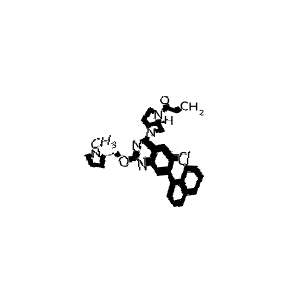 C=CC(=O)N1CCC2[C@H]1CN2c1nc(OC[C@@H]2CCCN2C)nc2cc(-c3cccc4c3CCCC4)c(Cl)cc12